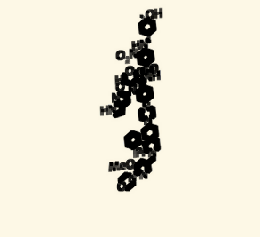 COc1cc(CN2CCC3(CCC(N4CCN(c5ccc(C(=O)NS(=O)(=O)c6ccc(NC[C@H]7CC[C@](C)(O)CC7)c([N+](=O)[O-])c6)c(N6c7cc8cc[nH]c8nc7O[C@H]7COCC[C@@H]76)c5)CC4)CC3)[C@H](c3ccccc3C(C)C)C2)cnc1N1CCOCC1